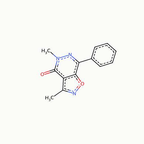 Cc1noc2c(-c3ccccc3)nn(C)c(=O)c12